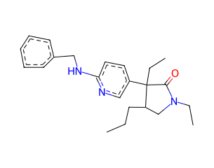 CCCC1CN(CC)C(=O)C1(CC)c1ccc(NCc2ccccc2)nc1